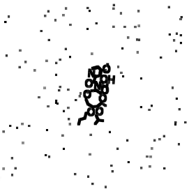 CCCCO[C@H]1CCOC[C@H](NC(=O)c2nccc(OC)c2O)C(=O)O[C@@H](C)[C@@H]1OCC(C)C